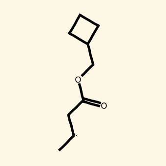 C[CH]CC(=O)OCC1CCC1